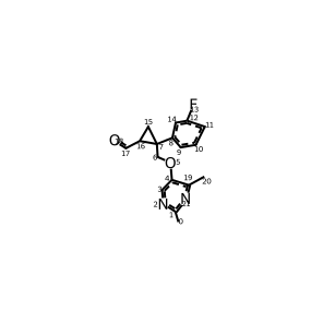 Cc1ncc(OCC2(c3cccc(F)c3)CC2C=O)c(C)n1